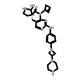 O=C1N(C23CC(C2)C3)c2nc(Nc3ccc(N4CC(N5CCNCC5)C4)cc3)ncc2C[C@@]12CCNC2O